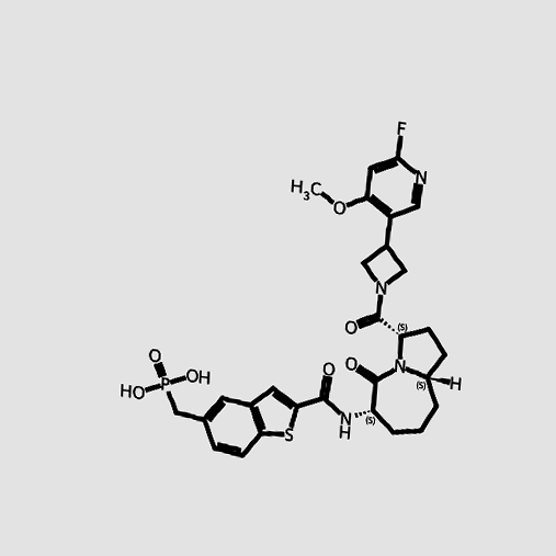 COc1cc(F)ncc1C1CN(C(=O)[C@@H]2CC[C@@H]3CCC[C@H](NC(=O)c4cc5cc(CP(=O)(O)O)ccc5s4)C(=O)N32)C1